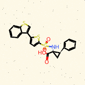 O=C(O)[C@]1(NS(=O)(=O)c2ccc(-c3csc4ccccc34)s2)C[C@@H]1c1ccccc1